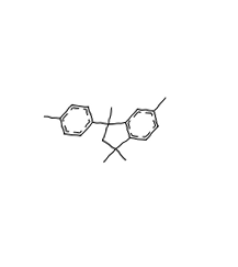 Cc1ccc(C2(C)CC(C)(C)c3ccc(C)cc32)cc1